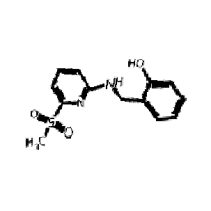 CS(=O)(=O)c1cccc(NCc2ccccc2O)n1